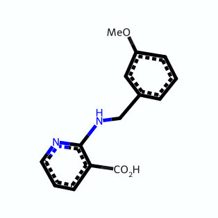 COc1cccc(CNc2ncccc2C(=O)O)c1